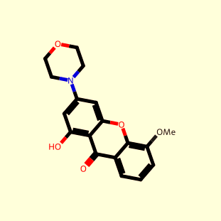 COc1cccc2c(=O)c3c(O)cc(N4CCOCC4)cc3oc12